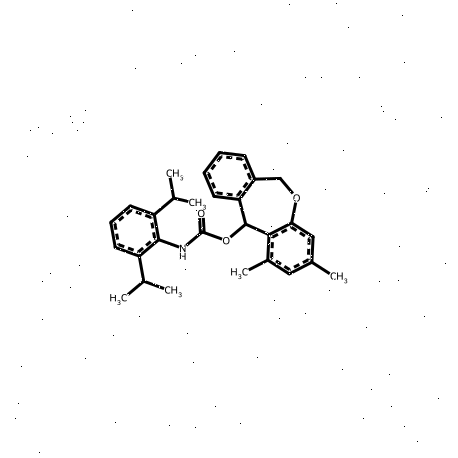 Cc1cc(C)c2c(c1)OCc1ccccc1C2OC(=O)Nc1c(C(C)C)cccc1C(C)C